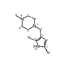 Cc1cc(CN2CCN(C)CC2)c(C)[nH]1